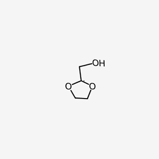 OC[C]1OCCO1